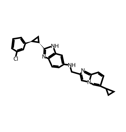 Clc1cccc([C@H]2C[C@@H]2c2nc3ccc(NCc4cn5cc(C6CC6)ccc5n4)cc3[nH]2)c1